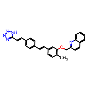 Cc1ccc(/C=C/c2ccc(/C=C/c3nnn[nH]3)cc2)cc1OCc1ccc2ccccc2n1